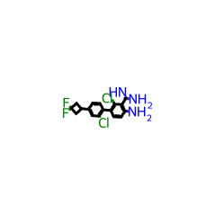 N=C(N)c1c(N)ccc(-c2ccc(C3CC(F)(F)C3)cc2Cl)c1Cl